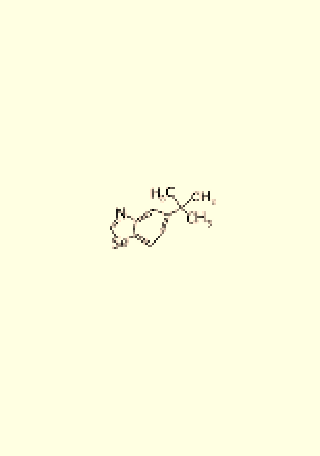 CC(C)(C)c1ccc2[se]cnc2c1